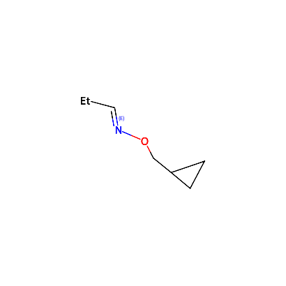 CC/C=N/OCC1CC1